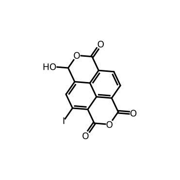 O=C1OC(O)c2cc(I)c3c4c(ccc1c24)C(=O)OC3=O